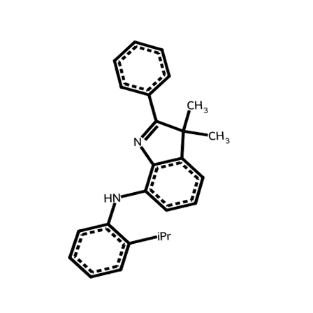 CC(C)c1ccccc1Nc1cccc2c1N=C(c1ccccc1)C2(C)C